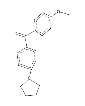 C=C(c1ccc(OC)cc1)c1ccc(N2CCCC2)cc1